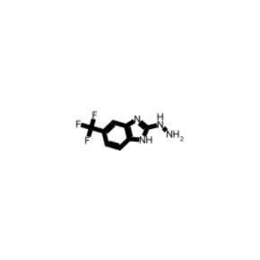 NNc1nc2cc(C(F)(F)F)ccc2[nH]1